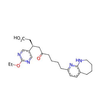 CCOc1ncc([C@@H](CC(=O)O)CC(=O)CCCCc2ccc3c(n2)NCCCC3)cn1